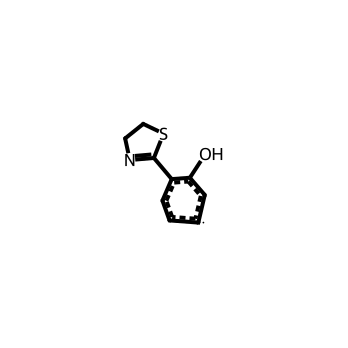 Oc1c[c]ccc1C1=NCCS1